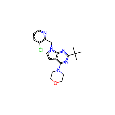 CC(C)(C)c1nc(N2CCOCC2)c2ccn(Cc3ncccc3Cl)c2n1